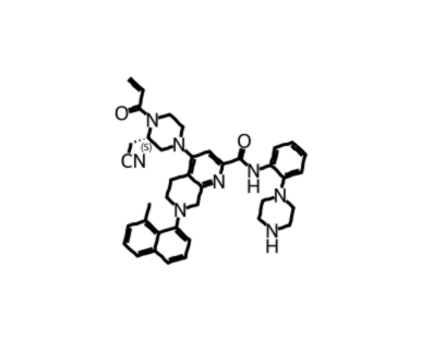 C=CC(=O)N1CCN(c2cc(C(=O)Nc3ccccc3N3CCNCC3)nc3c2CCN(c2cccc4cccc(C)c24)C3)C[C@@H]1CC#N